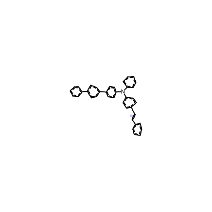 C(=C\c1ccc(N(c2ccccc2)c2ccc(-c3ccc(-c4ccccc4)cc3)cc2)cc1)/c1ccccc1